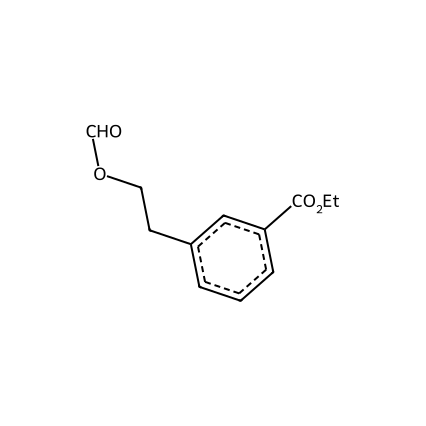 CCOC(=O)c1cccc(CCOC=O)c1